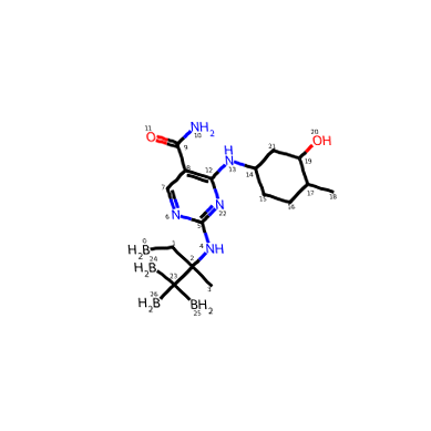 BCC(C)(Nc1ncc(C(N)=O)c(NC2CCC(C)C(O)C2)n1)C(B)(B)B